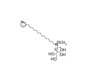 CON(CCCCCCCCCCCCCCc1cccnc1)[C@@H](CO)OC(CO)[C@@H](O)CO